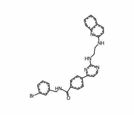 O=C(NCc1cccc(Br)c1)c1ccc(-c2ccnc(NCCNc3ccc4ccccc4n3)n2)cc1